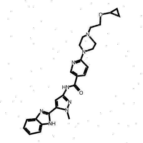 Cn1nc(NC(=O)c2ccc(N3CCN(CCOC4CC4)CC3)nc2)cc1-c1nc2ccccc2[nH]1